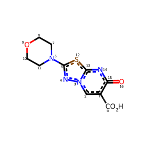 O=C(O)c1cn2nc(N3CCOCC3)sc2nc1=O